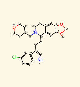 Clc1ccc2[nH]cc(CCC3c4cc5c(cc4CCN3CC3CCOCC3)OCO5)c2c1